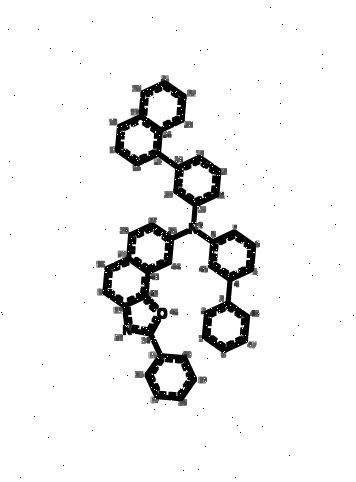 c1ccc(-c2cccc(N(c3cccc(-c4cccc5ccccc45)c3)c3ccc4ccc5nc(-c6ccccc6)oc5c4c3)c2)cc1